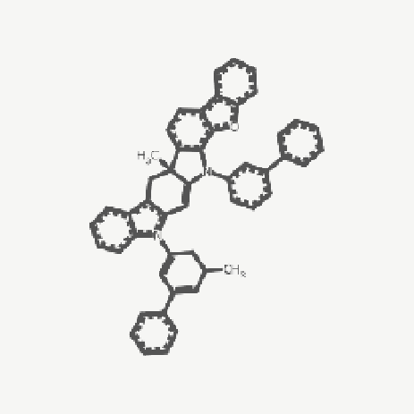 CC1C=C(c2ccccc2)C=C(n2c3c(c4ccccc42)CC2(C)C(=C3)N(c3cccc(-c4ccccc4)c3)c3c2ccc2c3oc3ccccc32)C1